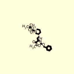 COC(=O)/C(=C/C[C@H]1CCCN(C(=O)OC(C)(C)C)C1)NC(=O)OCc1ccccc1